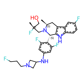 C[C@H]1Cc2c([nH]c3ccc(F)cc23)[C@H](c2c(F)cc(NC3CN(CCCF)C3)cc2F)N1C[C@](C)(F)CO